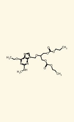 CCCOC(=O)OCC(COC(=O)OCCC)OCn1cnc2c(OCC)nc(NC)nc21